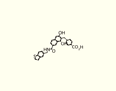 O=C(O)c1ccc(Cc2c(O)cc3ccc(C(=O)NCc4ccc5sccc5c4)cc3c2O)cc1